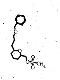 CS(=O)(=O)OCC1CCCC(CCCOCc2ccccc2)O1